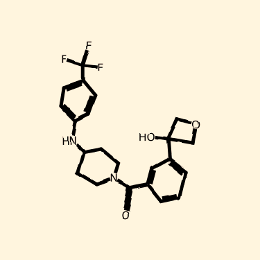 O=C(c1cccc(C2(O)COC2)c1)N1CCC(Nc2ccc(C(F)(F)F)cc2)CC1